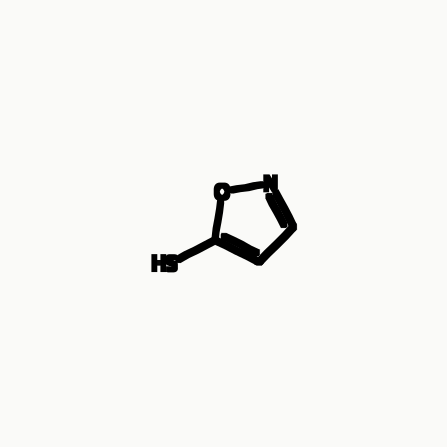 Sc1ccno1